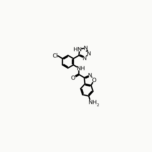 Nc1ccc2c(C(=O)Nc3ccc(Cl)cc3-c3nnn[nH]3)noc2c1